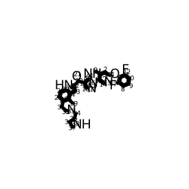 Cc1cc(Oc2c(F)cccc2F)ncc1-n1ncc(C(=O)c2cc3c4c(ccc3[nH]2)CCN(CC2CCN2)C4)c1N